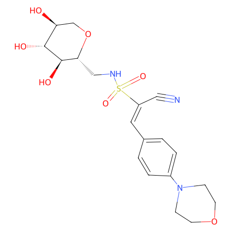 N#C/C(=C\c1ccc(N2CCOCC2)cc1)S(=O)(=O)NC[C@H]1OC[C@H](O)[C@@H](O)[C@@H]1O